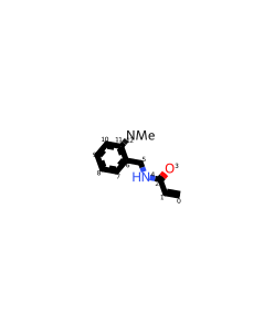 C=CC(=O)NCc1ccccc1NC